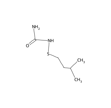 CC(C)CCSNC(N)=O